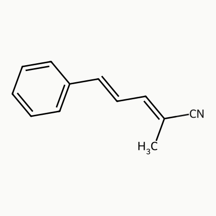 CC(C#N)=CC=Cc1ccccc1